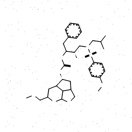 COCC1CC2[C@H]3C(CO[C@H]3O1)C[C@@H]2OC(=O)NC(Cc1ccccc1)[C@H](O)CN(CC(C)C)S(=O)(=O)c1ccc(OC)cc1